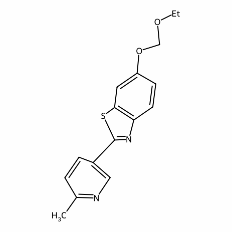 CCOCOc1ccc2nc(-c3ccc(C)nc3)sc2c1